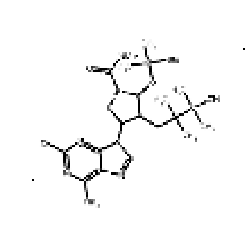 CNC(=O)C1SC(n2cnc3c(N)nc(Cl)nc32)C(CC(C)(C)[Si](C)(C)O)C1O[Si](C)(C)C(C)(C)C